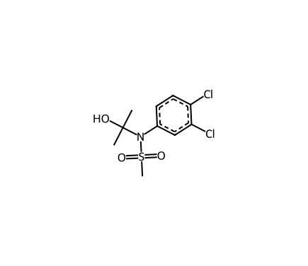 CC(C)(O)N(c1ccc(Cl)c(Cl)c1)S(C)(=O)=O